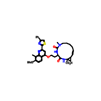 COc1ccc2c(OCCC3NC(=O)N(C)CCCCC=CC4CC4(C(=O)O)NC3=O)cc(-c3nc(C(C)C)cs3)nc2c1C